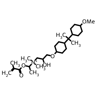 C=C(C)C(=O)OC(C)[N+](C)(C)CC(O)COC1CCC(C(C)(C)C2CCC(OC)CC2)CC1